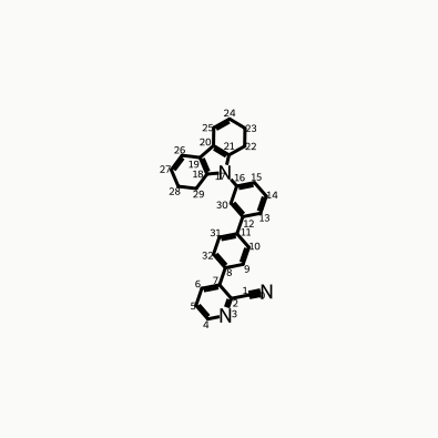 N#Cc1ncccc1-c1ccc(-c2cccc(-n3c4c(c5c3CCC=C5)C=CCC4)c2)cc1